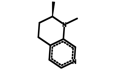 C[C@@H]1CCc2ccncc2N1C